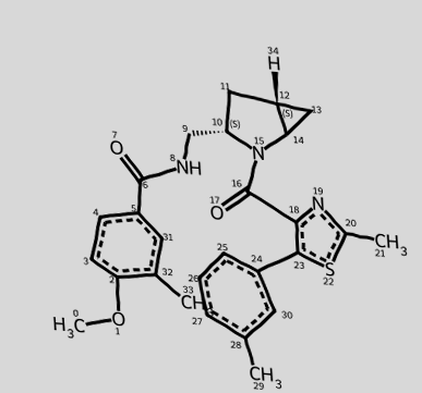 COc1ccc(C(=O)NC[C@@H]2C[C@@H]3CC3N2C(=O)c2nc(C)sc2-c2cccc(C)c2)cc1C